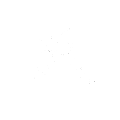 CN(C(=O)c1ccc(Cl)c(C(F)(F)F)c1)[C@H]1CN(C(=O)C2CCN(S(=O)(=O)C3CC3)CC2)C[C@@H]1c1ccc(Cl)cc1